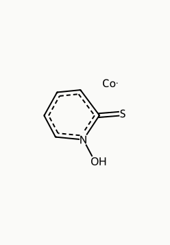 On1ccccc1=S.[Co]